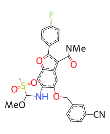 CNC(=O)c1c(-c2ccc(F)cc2)oc2cc(NC(OC)S(C)(=O)=O)c(OCc3cccc(C#N)c3)cc12